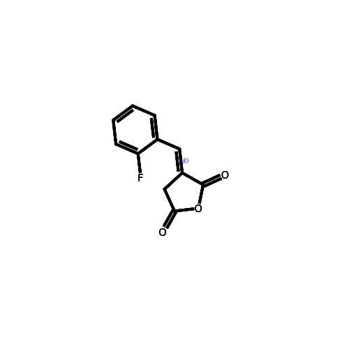 O=C1C/C(=C\c2ccccc2F)C(=O)O1